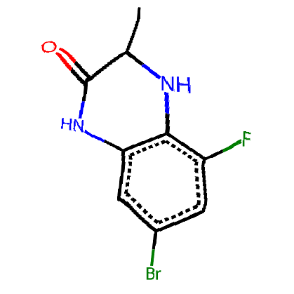 CC1Nc2c(F)cc(Br)cc2NC1=O